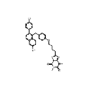 CN1C(=O)C2N=C(CCCCOc3ccc(Cc4c(-c5ccc(O)cc5)ccc5cc(O)ccc45)cc3)N=C2N(C)C1=O